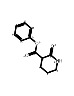 O=C1NCCCC1C(=O)Oc1ccccc1